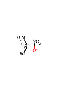 O=[N+]([O-])[O-].O=[N+]([O-])[SiH2][Ru]